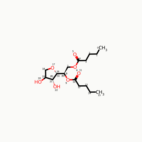 CCCCC(=O)OC[C@@H](OC(=O)CCCC)[C@H]1OCC(O)[C@H]1O